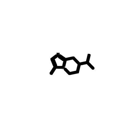 Cc1cnc2n1CCC(C(C)C)C2